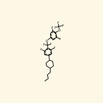 CCCCC1CCC(c2cc(F)c(C(F)(F)Oc3cc(F)c(OC(F)(F)F)c(F)c3)c(F)c2)CC1